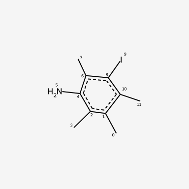 Cc1c(C)c(N)c(C)c(I)c1C